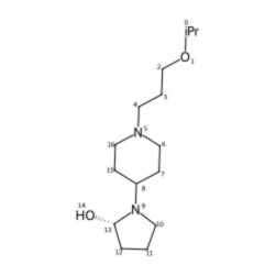 CC(C)OCCCN1CCC(N2CCC[C@@H]2O)CC1